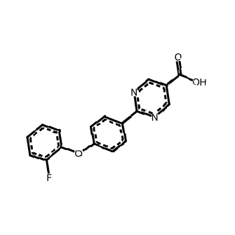 O=C(O)c1cnc(-c2ccc(Oc3ccccc3F)cc2)nc1